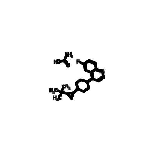 CC(C)(C)C1CC1C1CCC(c2ccnc3ccc(F)cc23)CC1.NC(=O)O